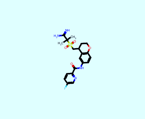 CC(C)(C(=N)N)S(=O)(=O)CC1CCOc2ccc(NC(=O)c3ccc(F)cn3)cc21